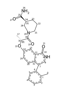 Cc1ccccc1-c1c[nH]c(=O)c2cc(O[C@H](C)C(=O)N3CCC[C@H](C(N)=O)C3)ccc12